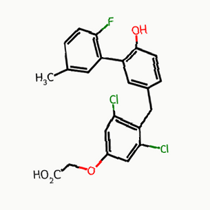 Cc1ccc(F)c(-c2cc(Cc3c(Cl)cc(OCC(=O)O)cc3Cl)ccc2O)c1